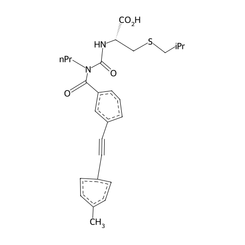 CCCN(C(=O)N[C@@H](CSCC(C)C)C(=O)O)C(=O)c1cccc(C#Cc2ccc(C)cc2)c1